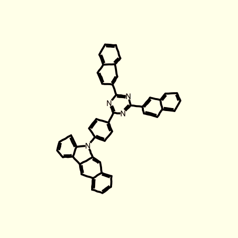 c1ccc2cc(-c3nc(-c4ccc(-n5c6ccccc6c6cc7ccccc7cc65)cc4)nc(-c4ccc5ccccc5c4)n3)ccc2c1